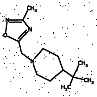 Cc1noc(CN2CCC(C(C)(C)C)CC2)n1